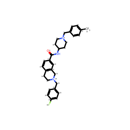 O=C(NC1CCN(Cc2ccc(C(F)(F)F)cc2)CC1)c1ccc2c(c1)CN(Cc1ccc(F)cc1)CC2